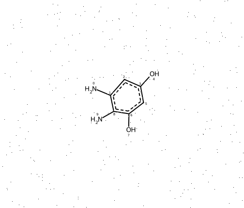 Nc1cc(O)cc(O)c1N